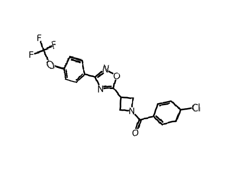 O=C(C1=CCC(Cl)C=C1)N1CC(c2nc(-c3ccc(OC(F)(F)F)cc3)no2)C1